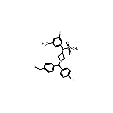 Cc1cc(F)cc(N(C2CN(C(c3ccc(Cl)cc3)c3ccc(CI)cc3)C2)S(C)(=O)=O)c1